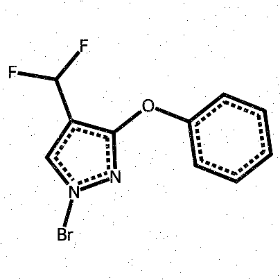 FC(F)c1cn(Br)nc1Oc1ccccc1